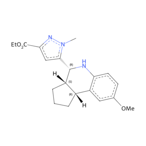 CCOC(=O)c1cc([C@@H]2Nc3ccc(OC)cc3[C@@H]3CCC[C@@H]32)n(C)n1